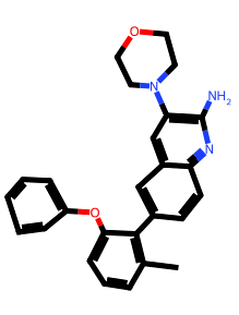 Cc1cccc(Oc2ccccc2)c1-c1ccc2nc(N)c(N3CCOCC3)cc2c1